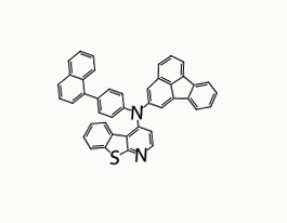 c1ccc2c(c1)-c1cccc3cc(N(c4ccc(-c5cccc6ccccc56)cc4)c4ccnc5sc6ccccc6c45)cc-2c13